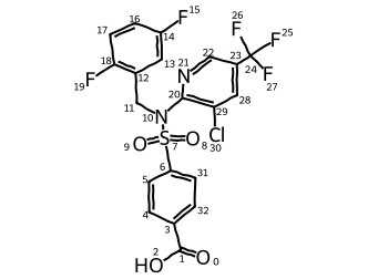 O=C(O)c1ccc(S(=O)(=O)N(Cc2cc(F)ccc2F)c2ncc(C(F)(F)F)cc2Cl)cc1